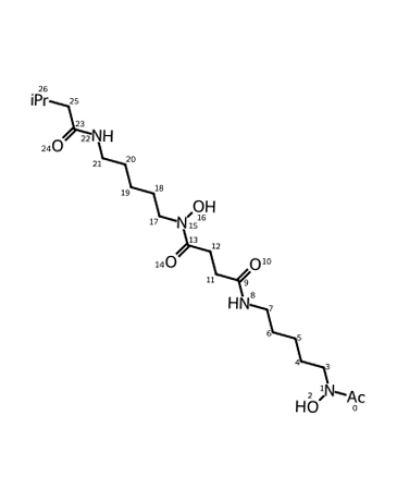 CC(=O)N(O)CCCCCNC(=O)CCC(=O)N(O)CCCCCNC(=O)CC(C)C